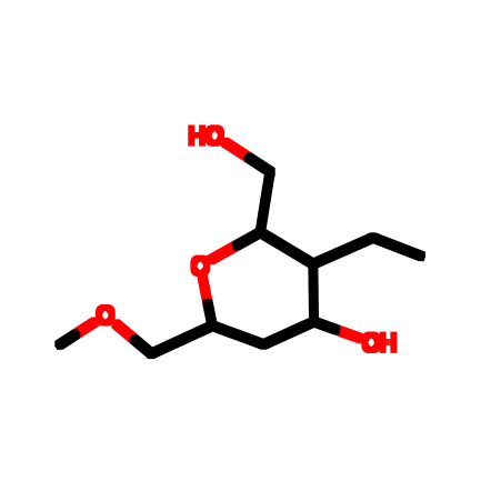 CCC1C(O)CC(COC)OC1CO